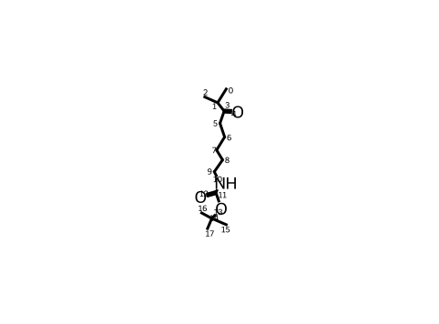 CC(C)C(=O)CCCCCNC(=O)OC(C)(C)C